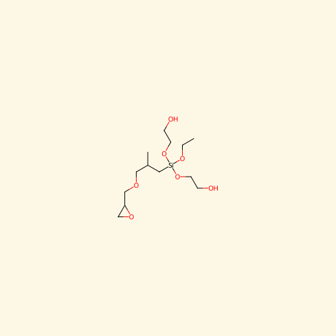 CCO[Si](CC(C)COCC1CO1)(OCCO)OCCO